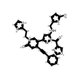 O=C(c1cocn1)n1nc(-c2cn(CCc3ncco3)c(=O)cc2C#Cc2ccccc2)cc1NCc1ccc(Cl)s1